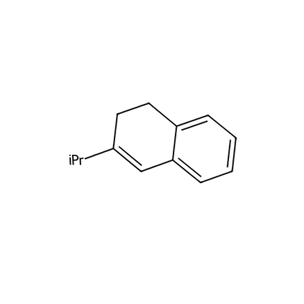 CC(C)C1=Cc2ccccc2CC1